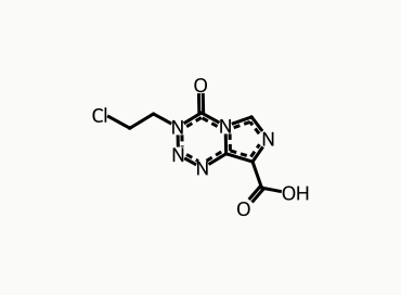 O=C(O)c1ncn2c(=O)n(CCCl)nnc12